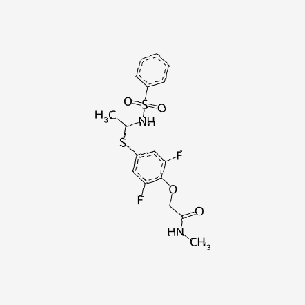 CNC(=O)COc1c(F)cc(SC(C)NS(=O)(=O)c2ccccc2)cc1F